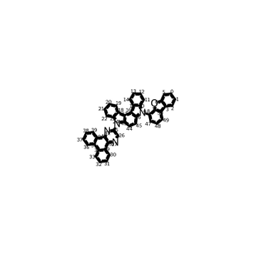 c1ccc2c(c1)oc1c(-n3c4ccccc4c4c5c6ccccc6n(-c6cnc7c8ccccc8c8ccccc8c7n6)c5ccc43)cccc12